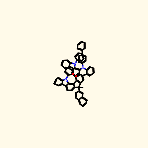 CC1(c2ccc3ccccc3c2)c2cc(-c3ccccc3N(c3ccc(-c4ccccc4)cc3)c3cccc4c5ccccc5n(-c5ccccc5)c34)cc3c2-c2c1ccc1c4ccccc4n(c21)-c1ccccc1-3